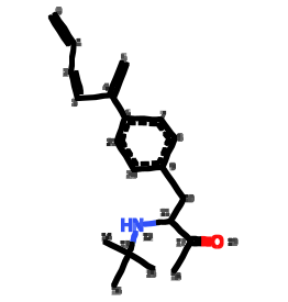 C=C/C=C\C(=C)c1ccc(CC(NC(C)(C)C)C(C)=O)cc1